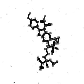 CCc1ccc(-c2oc3nc(N(CCC[C@](C)(COC)C(=O)O)S(C)(=O)=O)c(C4CC4)cc3c2C(=O)NC)cc1